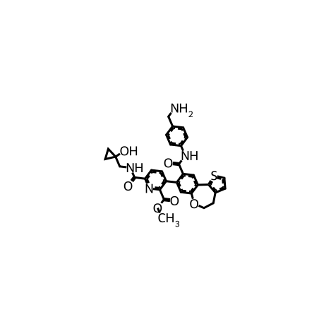 COC(=O)c1nc(C(=O)NCC2(O)CC2)ccc1-c1cc2c(cc1C(=O)Nc1ccc(CN)cc1)-c1sccc1CCO2